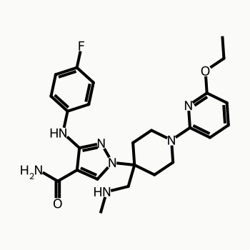 CCOc1cccc(N2CCC(CNC)(n3cc(C(N)=O)c(Nc4ccc(F)cc4)n3)CC2)n1